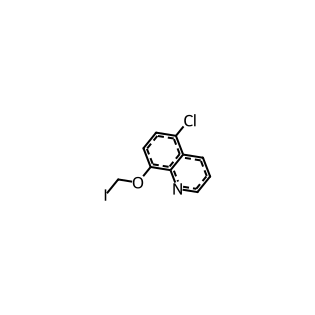 Clc1ccc(OCI)c2ncccc12